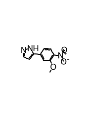 COc1cc(-c2ccn[nH]2)ccc1[N+](=O)[O-]